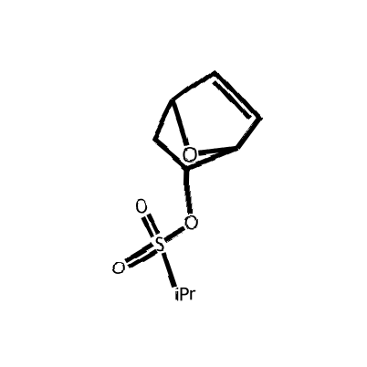 CC(C)S(=O)(=O)OC1CC2C=CC1O2